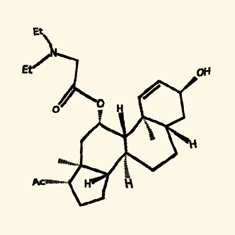 CCN(CC)CC(=O)O[C@H]1C[C@]2(C)[C@@H](C(C)=O)CC[C@H]2[C@@H]2CC[C@H]3C[C@H](O)C=C[C@]3(C)[C@H]21